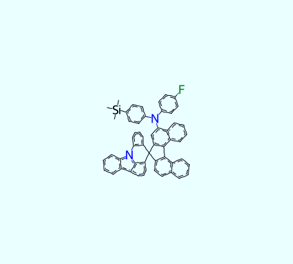 C[Si](C)(C)c1ccc(N(c2ccc(F)cc2)c2cc3c(c4ccccc24)-c2c(ccc4ccccc24)C32c3ccccc3-n3c4ccccc4c4cccc2c43)cc1